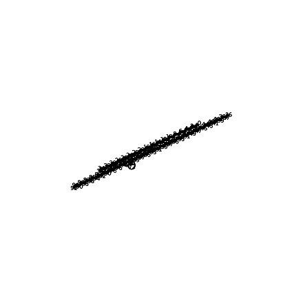 CCCCCCCCCCCCCCCCCCCCCCCCCCCCCCCCCCCC.CCCCCCCCCCCCCCCCCCCCCCCCCCCCCCCCCCCC(=O)OCCCCCCCCCCCCCCCCCCC